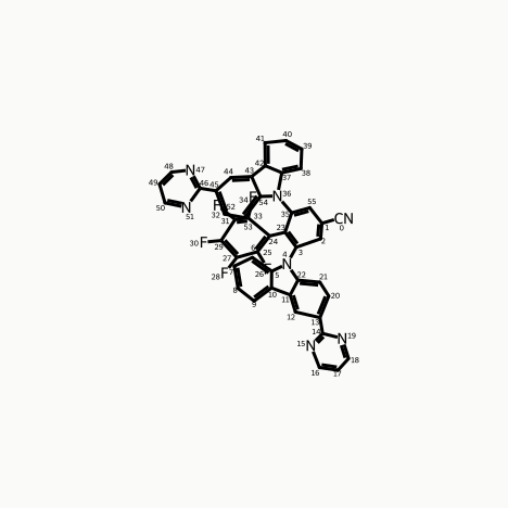 N#Cc1cc(-n2c3ccccc3c3cc(-c4ncccn4)ccc32)c(-c2c(F)c(F)c(F)c(F)c2F)c(-n2c3ccccc3c3cc(-c4ncccn4)ccc32)c1